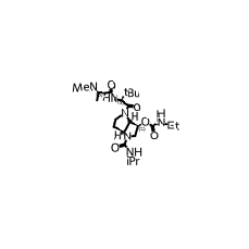 CCNC(=O)O[C@H]1CN(C(=O)NC(C)C)[C@@H]2CCN(C(=O)[C@@H](NC(=O)[C@H](C)NC)C(C)(C)C)[C@H]12